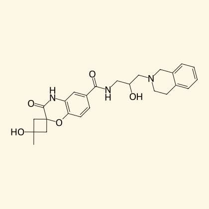 CC1(O)CC2(C1)Oc1ccc(C(=O)NCC(O)CN3CCc4ccccc4C3)cc1NC2=O